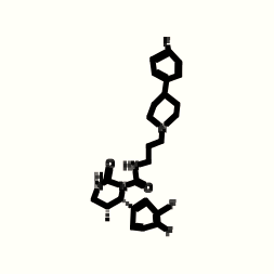 C[C@@H]1CNC(=O)N(C(=O)NCCCN2CCC(c3ccc(F)cc3)CC2)[C@@H]1c1ccc(F)c(F)c1